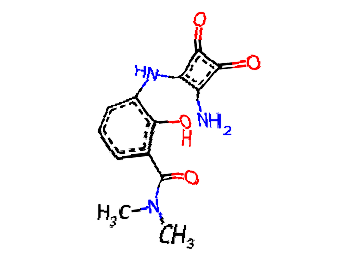 CN(C)C(=O)c1cccc(Nc2c(N)c(=O)c2=O)c1O